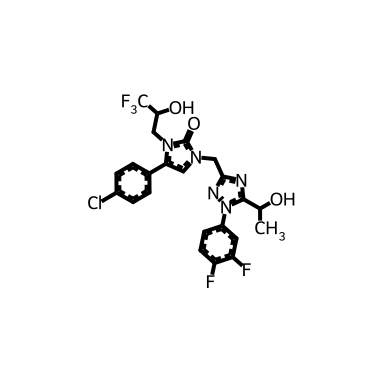 CC(O)c1nc(Cn2cc(-c3ccc(Cl)cc3)n(CC(O)C(F)(F)F)c2=O)nn1-c1ccc(F)c(F)c1